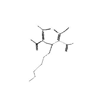 CCCCCCC1C(C(=O)O)=C(C)NC(C)=C1C(=O)O